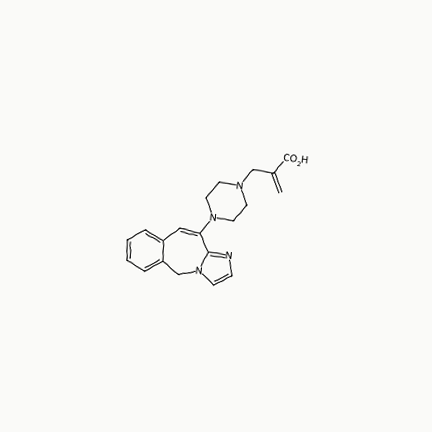 C=C(CN1CCN(C2=Cc3ccccc3Cn3ccnc32)CC1)C(=O)O